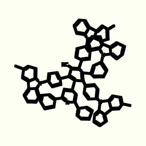 Cc1ccc2c(c1)c1ccccc1n2-c1ccc(-c2c(C#N)c(-c3ccc(-n4c5ccccc5c5cc(C)ccc54)cc3)c(-c3cc(-c4ccccc4)nc(-c4ccccc4)c3)c(-c3ccc(-n4c5ccccc5c5cc(C)ccc54)cc3)c2-c2cccc(-n3c4ccccc4c4ccccc43)c2)cc1